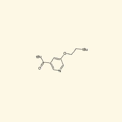 CC(C)(C)CCOc1cncc(C(=O)C(C)(C)C)c1